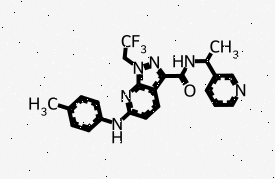 Cc1ccc(Nc2ccc3c(C(=O)NC(C)c4cccnc4)nn(CC(F)(F)F)c3n2)cc1